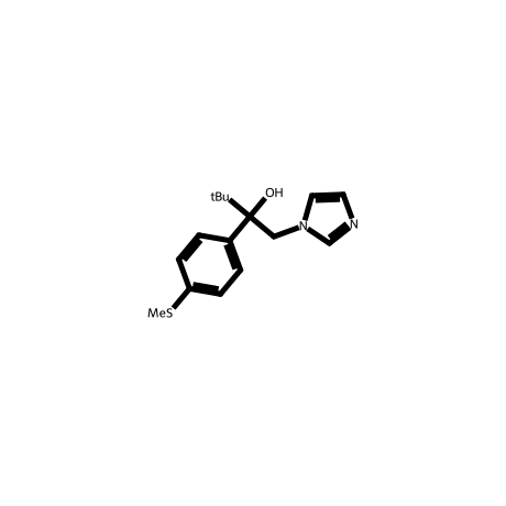 CSc1ccc(C(O)(Cn2ccnc2)C(C)(C)C)cc1